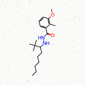 CCCCCCC(NNC(=O)c1cccc(OC)c1C)C(C)(C)C